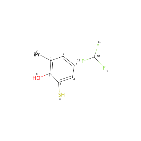 CC(C)c1cccc(S)c1O.FC(F)F